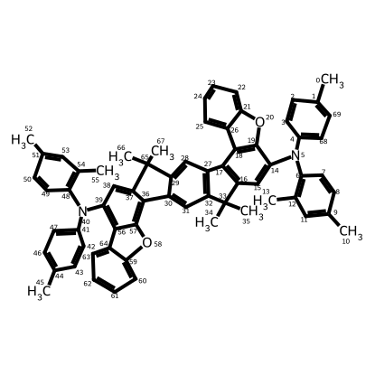 Cc1ccc(N(c2ccc(C)cc2C)c2cc3c(c4c2oc2ccccc24)-c2cc4c(cc2C3(C)C)-c2c(cc(N(c3ccc(C)cc3)c3ccc(C)cc3C)c3c2oc2ccccc23)C4(C)C)cc1